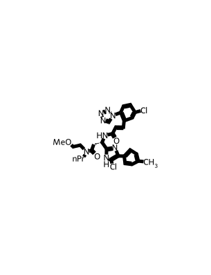 CCCN(CCOC)C(=O)C[C@H](NC(=O)/C=C/c1cc(Cl)ccc1-n1cnnn1)c1nc(-c2ccc(C)cc2)c(Cl)[nH]1